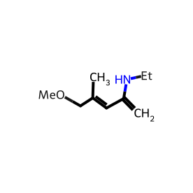 C=C(/C=C(\C)COC)NCC